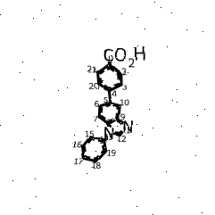 O=C(O)c1ccc(-c2ccc3c(c2)ncn3-c2ccccc2)cc1